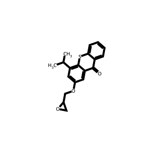 CC(C)c1cc(OCC2CO2)cc2c(=O)c3ccccc3sc12